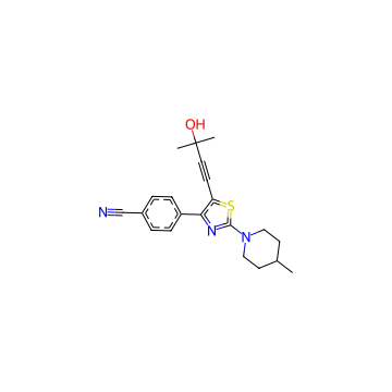 CC1CCN(c2nc(-c3ccc(C#N)cc3)c(C#CC(C)(C)O)s2)CC1